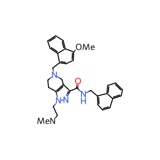 CNCCn1nc(C(=O)NCc2cccc3ccccc23)c2c1CCN(Cc1ccc(OC)c3ccccc13)C2